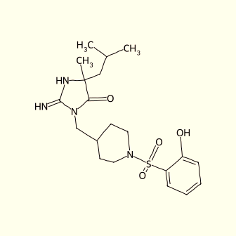 CC(C)CC1(C)NC(=N)N(CC2CCN(S(=O)(=O)c3ccccc3O)CC2)C1=O